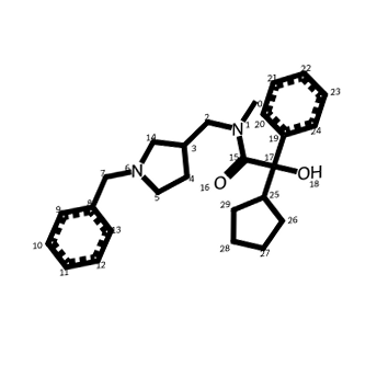 CN(CC1CCN(Cc2ccccc2)C1)C(=O)C(O)(c1ccccc1)C1CCCC1